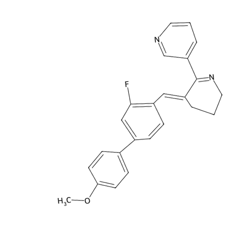 COc1ccc(-c2ccc(/C=C3\CCCN=C3c3cccnc3)c(F)c2)cc1